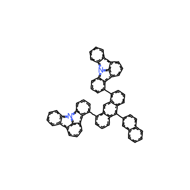 c1ccc2cc(-c3c4cccc(-c5cccc6c5c5cccc7c8ccccc8n6c75)c4cc4c(-c5cccc6c5c5cccc7c8ccccc8n6c75)cccc34)ccc2c1